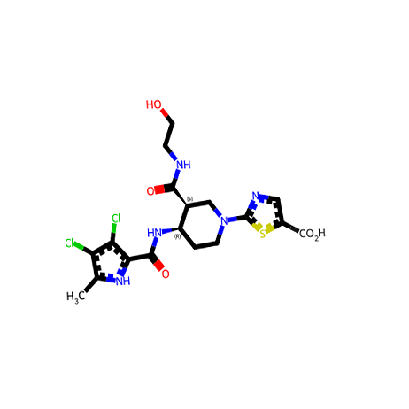 Cc1[nH]c(C(=O)N[C@@H]2CCN(c3ncc(C(=O)O)s3)C[C@@H]2C(=O)NCCO)c(Cl)c1Cl